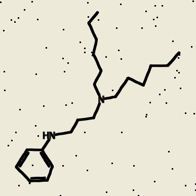 CCCCCCN(CCCCCC)CCCNc1cc[c]cc1